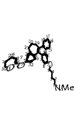 CNCCCCCOc1ccc(C2=C(c3ccccc3)CCCc3cc(OC4CCCCO4)ccc32)cc1